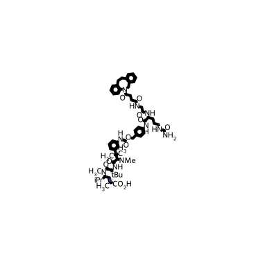 CNC(C(=O)NC(C(=O)N(C)C(/C=C(\C)C(=O)O)C(C)C)C(C)(C)C)C(C)(C)c1cccc(NC(=O)OCc2ccc(NC(=O)C(CCCNC(N)=O)NC(=O)CNC(=O)CCC(=O)N3Cc4ccccc4CCc4ccccc43)cc2)c1